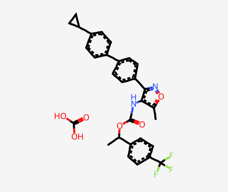 Cc1onc(-c2ccc(-c3ccc(C4CC4)cc3)cc2)c1NC(=O)OC(C)c1ccc(C(F)(F)F)cc1.O=C(O)O